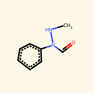 CNN(C=O)c1ccccc1